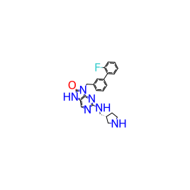 O=c1[nH]c2cnc(NC[C@@H]3CCNC3)nc2n1Cc1cccc(-c2ccccc2F)c1